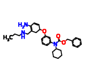 CCCNCC1=C(N)C=CC(Oc2cccc(N(C(=O)OCc3ccccc3)C3CCCCC3)c2)C1